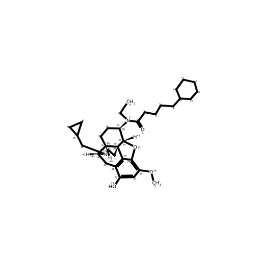 CCN(C(=O)CCCCC1CCCCC1)[C@@H]1CC[C@H]2[C@H]3Cc4c(O)cc(OC)c5c4[C@@]2(CCN3CC2CC2)[C@H]1O5